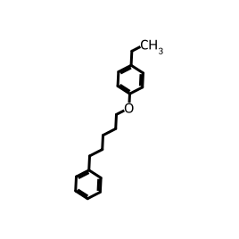 CCc1ccc(OCCCCCc2ccccc2)cc1